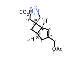 CC(=O)OCC1=C[C@H]2[C@@H](C1)C[C@@]2(CN)CC(=O)O